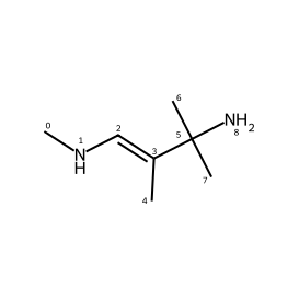 CN/C=C(\C)C(C)(C)N